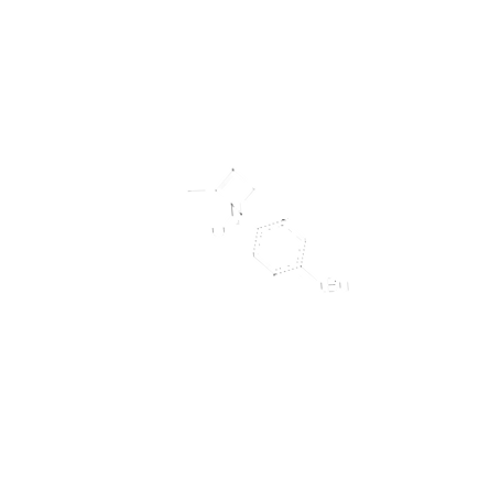 CC1=CC[N+]1([O-])c1ccc(C(C)(C)C)cc1